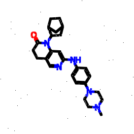 CN1CCN(c2ccc(Nc3cc4c(cn3)CCC(=O)N4C3CC4CCC3C4)cc2)CC1